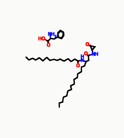 CCCCCCCCCCCCCCCC(=O)NC(CCCCCCCCCCCCCCC)CC(=O)NC1CC1=O.N[C@@H](Cc1ccccc1)C(=O)O